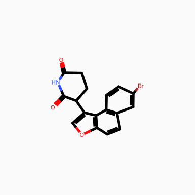 O=C1CCC(c2coc3ccc4cc(Br)ccc4c23)C(=O)N1